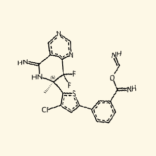 C[C@]1(c2sc(-c3cccc(C(=N)OC=N)c3)cc2Cl)NC(=N)c2cncnc2C1(F)F